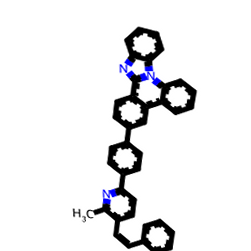 Cc1nc(-c2ccc(-c3ccc4c(c3)c3ccccc3n3c5ccccc5nc43)cc2)ccc1/C=C\c1ccccc1